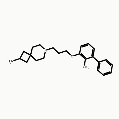 Cc1c(OCCCN2CCC3(CC2)CC(N)C3)cccc1-c1ccccc1